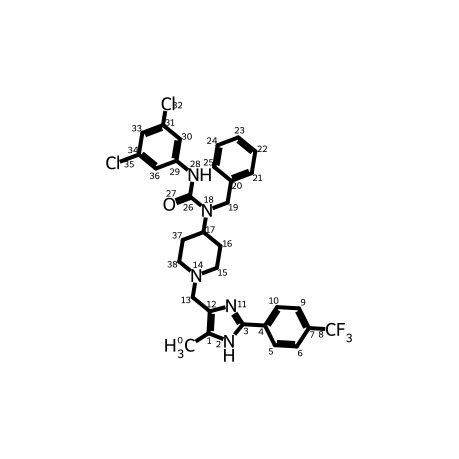 Cc1[nH]c(-c2ccc(C(F)(F)F)cc2)nc1CN1CCC(N(Cc2ccccc2)C(=O)Nc2cc(Cl)cc(Cl)c2)CC1